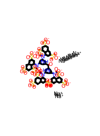 O=CN(c1cc(C(=O)c2cc(N(C=O)c3cc(S(=O)(=O)[O-])cc4cc(S(=O)(=O)[O-])cc(S(=O)(=O)[O-])c34)c3c(N(C=O)c4cc(S(=O)(=O)[O-])cc5cc(S(=O)(=O)[O-])cc(S(=O)(=O)[O-])c45)c2N3)c2c(N(C=O)c3cc(S(=O)(=O)[O-])cc4cc(S(=O)(=O)[O-])cc(S(=O)(=O)[O-])c34)c1N2)c1cc(S(=O)(=O)[O-])cc2cc(S(=O)(=O)[O-])cc(S(=O)(=O)[O-])c12.[Na+].[Na+].[Na+].[Na+].[Na+].[Na+].[Na+].[Na+].[Na+].[Na+].[Na+].[Na+]